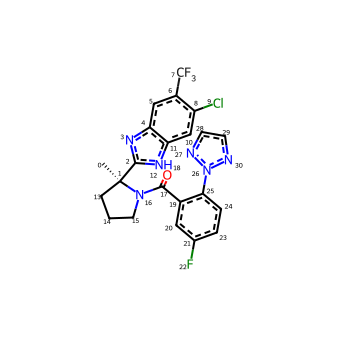 C[C@@]1(c2nc3cc(C(F)(F)F)c(Cl)cc3[nH]2)CCCN1C(=O)c1cc(F)ccc1-n1nccn1